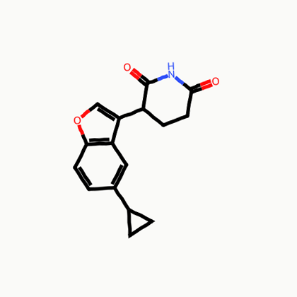 O=C1CCC(c2coc3ccc(C4CC4)cc23)C(=O)N1